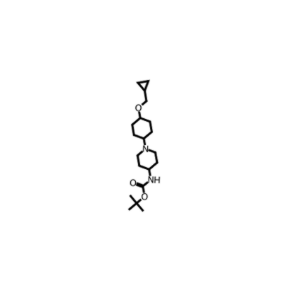 CC(C)(C)OC(=O)NC1CCN(C2CCC(OCC3CC3)CC2)CC1